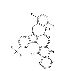 O=C(O)c1c(-n2c(=O)[nH]c3nccnc3c2=O)c2cc(C(F)(F)F)ccc2n1Cc1cc(F)ccc1F